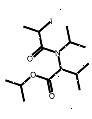 CC(C)OC(=O)C(C(C)C)N(C(=O)C(C)I)C(C)C